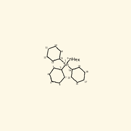 CCCCC[CH2][Sn]([CH]1CCCCC1)([CH]1CCCCC1)[CH]1CCCCC1